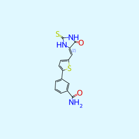 NC(=O)c1cccc(-c2ccc(/C=C3\NC(=S)NC3=O)s2)c1